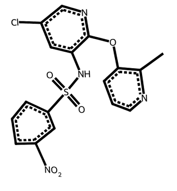 Cc1ncccc1Oc1ncc(Cl)cc1NS(=O)(=O)c1cccc([N+](=O)[O-])c1